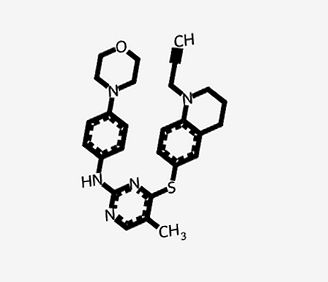 C#CCN1CCCc2cc(Sc3nc(Nc4ccc(N5CCOCC5)cc4)ncc3C)ccc21